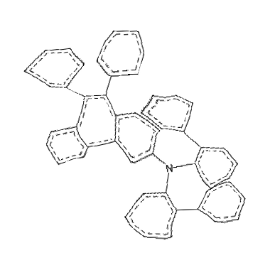 c1ccc(-c2ccccc2N(c2ccc3c(-c4ccccc4)c(-c4ccccc4)c4ccccc4c3c2)c2ccccc2-c2ccccc2)cc1